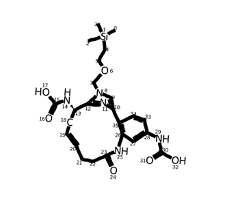 C[Si](C)(C)CCOCn1cc2nc1[C@@H](NC(=O)O)C/C=C/CCC(=O)Nc1cc(NC(=O)O)ccc1-2